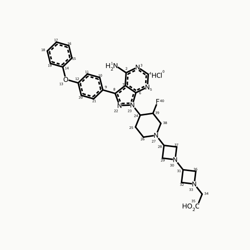 Cl.Nc1ncnc2c1c(-c1ccc(Oc3ccccc3)cc1)nn2C1CCN(C2CN(C3CN(CC(=O)O)C3)C2)CC1F